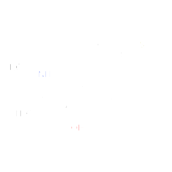 CNC(C)C(O)c1ccc2sccc2c1